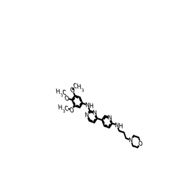 COc1cc(Nc2nccc(-c3ccc(NCCCN4CCOCC4)nc3)n2)cc(OC)c1OC